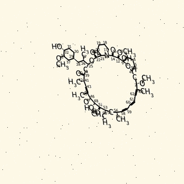 CO[C@H]1C[C@@H]2CC[C@@H](C)[C@@](O)(O2)C(=O)C(=O)N2CCCC[C@H]2C(=O)O[C@H]([C@H](C)C[C@@H]2CC[C@@H](O)[C@H](OC)C2)CC(=O)[C@H](C)/C=C(\C)[C@@H](O)[C@H](OC)C(=O)[C@H](C)C[C@H](C)\C=C/C=C/C=C/1C